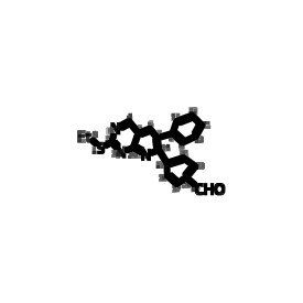 CCSc1ncc2cc(-c3ccccc3)c(-c3ccc(C=O)cc3)nc2n1